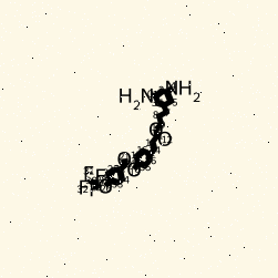 Nc1cc(N)cc(CCCOC(=O)/C=C/c2ccc(OC(=O)c3ccc(OC(F)(F)C(F)F)cc3)cc2)c1